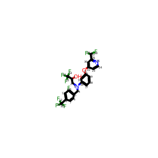 OC(CN(Cc1ccc(C(F)(F)F)cc1F)c1cccc(Oc2ccnc(C(F)F)c2)c1)C(F)(F)F